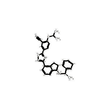 CC(C)Oc1ccc(-c2nc(-c3cccc4c3CC[C@H]4N[C@H](C)c3ccccc3)no2)cc1C#N